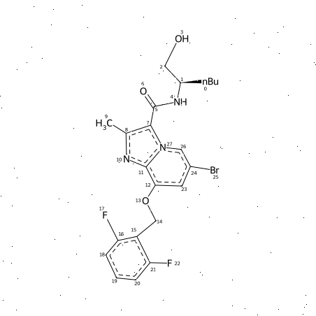 CCCC[C@H](CO)NC(=O)c1c(C)nc2c(OCc3c(F)cccc3F)cc(Br)cn12